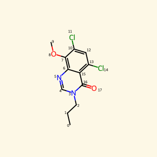 CCCn1cnc2c(OC)c(Cl)cc(Cl)c2c1=O